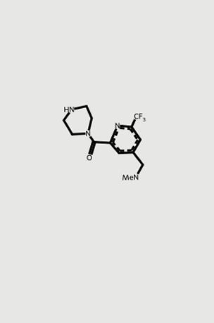 CNCc1cc(C(=O)N2CCNCC2)nc(C(F)(F)F)c1